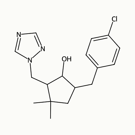 CC1(C)CC(Cc2ccc(Cl)cc2)C(O)C1Cn1cncn1